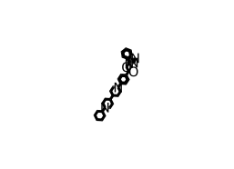 O=C(On1nnc2ccccc21)c1ccc(N2CCC(C3CCN(C4CCCCC4)CC3)CC2)cc1